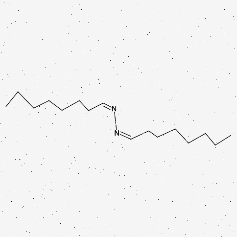 CCCCCCC/C=N\N=C/CCCCCCC